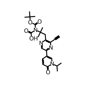 C#Cc1nc(-c2ccc(=O)n(C(C)C)c2)cnc1CC(C)(C)N(C(=O)O)C(=O)OC(C)(C)C